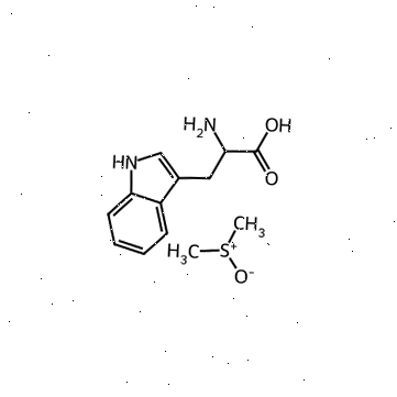 C[S+](C)[O-].NC(Cc1c[nH]c2ccccc12)C(=O)O